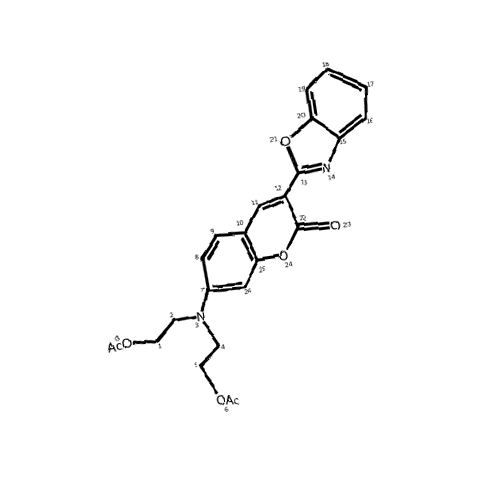 CC(=O)OCCN(CCOC(C)=O)c1ccc2cc(-c3nc4ccccc4o3)c(=O)oc2c1